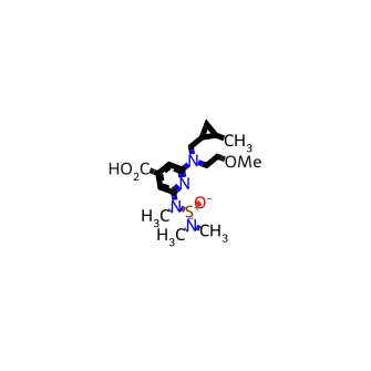 COCCN(CC1CC1C)c1cc(C(=O)O)cc(N(C)[S+]([O-])N(C)C)n1